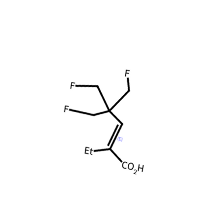 CC/C(=C\C(CF)(CF)CF)C(=O)O